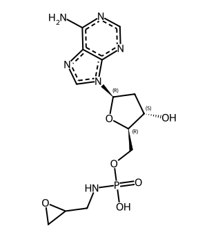 Nc1ncnc2c1ncn2[C@H]1C[C@H](O)[C@@H](COP(=O)(O)NCC2CO2)O1